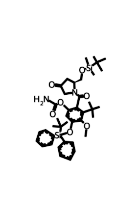 COc1c(O[Si](c2ccccc2)(c2ccccc2)C(C)(C)C)cc(OC(N)=O)c(C(=O)N2CC(=O)C[C@H]2CO[Si](C)(C)C(C)(C)C)c1C(C)(C)C